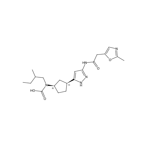 CCC(C)CN(C(=O)O)[C@@H]1CC[C@H](c2cc(NC(=O)Cc3cnc(C)o3)n[nH]2)C1